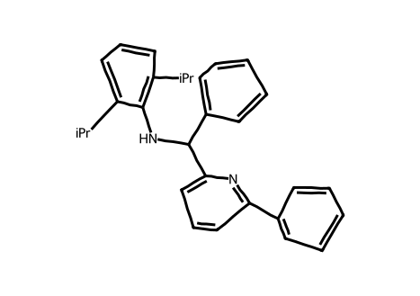 CC(C)c1cccc(C(C)C)c1NC(c1ccccc1)c1cccc(-c2ccccc2)n1